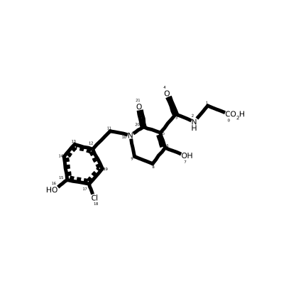 O=C(O)CNC(=O)C1=C(O)CCN(Cc2ccc(O)c(Cl)c2)C1=O